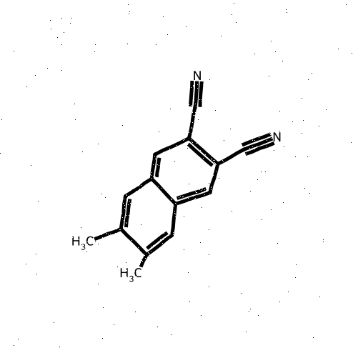 Cc1cc2cc(C#N)c(C#N)cc2cc1C